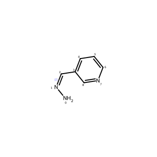 N/N=C\c1cccnc1